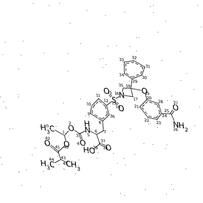 CC(OC(=O)NC(Cc1cccc(S(=O)(=O)N2CC(Oc3cccc(C(N)=O)c3)(c3ccccc3)C2)c1)C(=O)O)OC(=O)C(C)C